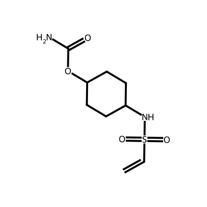 C=CS(=O)(=O)NC1CCC(OC(N)=O)CC1